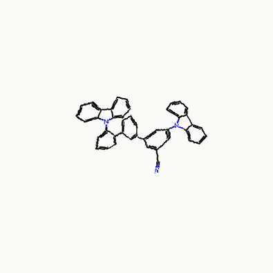 N#Cc1cc(-c2cccc(-c3ccccc3-n3c4ccccc4c4ccccc43)c2)cc(-n2c3ccccc3c3ccccc32)c1